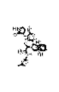 Cc1nnc(N[C@H](C(=O)N2C[C@H]3[C@@H]([C@H]2C(=O)N[C@@H](C[C@@H]2CCNC2=O)C(N)=O)[C@H]2C=C[C@@H]3C2)C(C)(C)C)o1